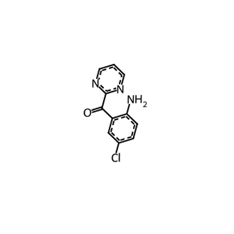 Nc1ccc(Cl)cc1C(=O)c1ncccn1